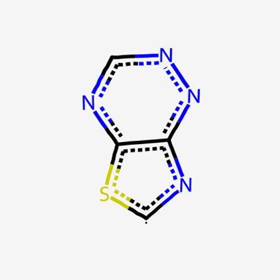 [c]1nc2nncnc2s1